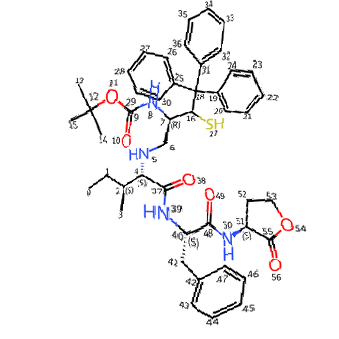 CC[C@H](C)[C@H](NC[C@@H](NC(=O)OC(C)(C)C)C(S)C(c1ccccc1)(c1ccccc1)c1ccccc1)C(=O)N[C@@H](Cc1ccccc1)C(=O)N[C@H]1CCOC1=O